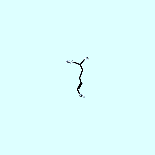 C/C=C/CCC(CCC)C(=O)O